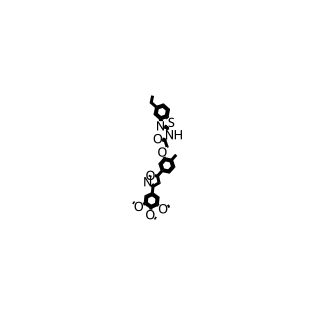 CCc1ccc2sc(NC(=O)COc3cc(C4CC(c5cc(OC)c(OC)c(OC)c5)=NO4)ccc3C)nc2c1